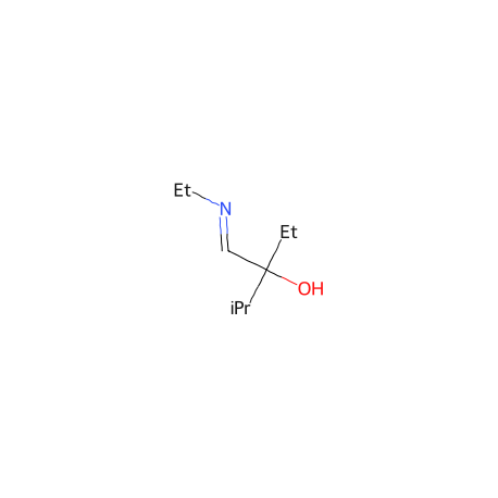 CCN=CC(O)(CC)C(C)C